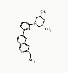 C[C@@H]1CN(c2cccc(-c3ccc4cnc(CN)cc4n3)n2)C[C@H](C)O1